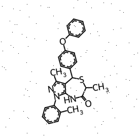 Cc1ccccc1-n1nc(C)c2c1NC(=O)C(C)SC2c1ccc(Oc2ccccc2)cc1